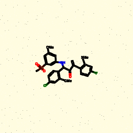 C=C(C(=O)C(Nc1cc(OC)cc(S(C)(=O)=O)c1)c1ccc(Cl)cc1OC)c1ccc(F)cc1NC